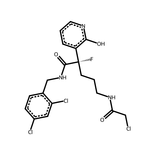 O=C(CCl)NCCC[C@@](F)(C(=O)NCc1ccc(Cl)cc1Cl)c1cccnc1O